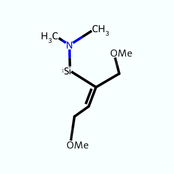 COCC=C(COC)[Si]N(C)C